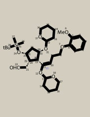 COc1ccccc1OCC/C=C(/OC1CCCCO1)[C@@H]1[C@H](CC=O)[C@H](O[Si](C)(C)C(C)(C)C)C[C@@H]1OC1CCCCO1